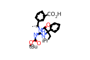 CC(C)CC1(c2ccccc2)NC(=NC(=O)OC(C)(C)C)N([C@H](C)c2cccc(C(=O)O)c2)C1=O